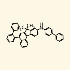 CC1(C)c2cc(Nc3ccc(-c4ccccc4)cc3)ccc2-c2c1cc(-c1ccccc1-c1ccccc1)c1ccccc21